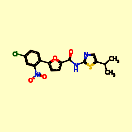 CC(C)c1cnc(NC(=O)c2ccc(-c3ccc(Cl)cc3[N+](=O)[O-])o2)s1